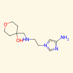 Nc1cn(CCNCC2(O)CCOCC2)cn1